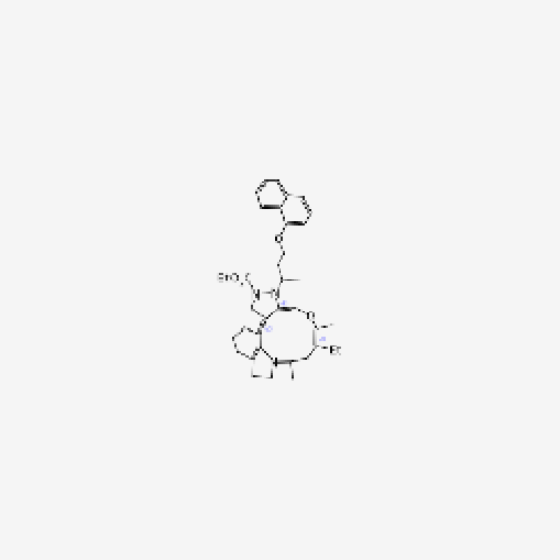 CCOC(=O)N1CC2=C3\CCCC4=C3N(CC4)C(C)C/C(CC)=C(/C)O/C=C\2N1C(C)CCOc1cccc2ccccc12